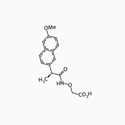 COc1ccc2cc([C@H](C)C(=O)NOCC(=O)O)ccc2c1